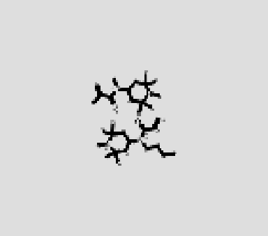 C=C(C)C(=O)N(C)C1CC(C)(C)N(C)C(C)(C)C1.C=CC(=O)N(CCCC)C1CC(C)(C)N(C)C(C)(C)C1